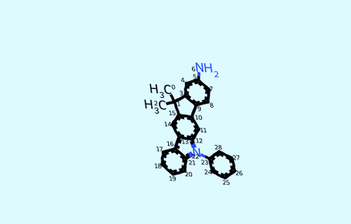 CC1(C)c2cc(N)ccc2-c2cc3c(cc21)c1ccccc1n3-c1ccccc1